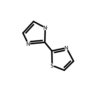 C1=CN=C(c2nccs2)[N]1